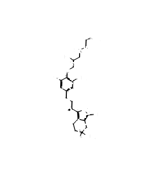 Cc1cc(CCC(=O)c2sc(C)c3c2CCC(C)(C)C3)cc(C)c1OCC(O)CNCCC(=O)O